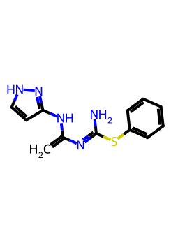 C=C(/N=C(\N)Sc1ccccc1)Nc1cc[nH]n1